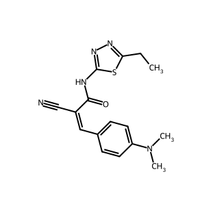 CCc1nnc(NC(=O)C(C#N)=Cc2ccc(N(C)C)cc2)s1